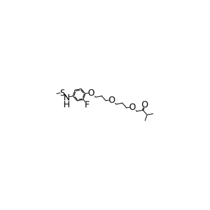 CSNc1ccc(OCCCOCCCOCC(=O)C(C)C)c(F)c1